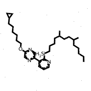 CCCCCC(C)CCC(C)CCCC[SiH2]c1ncccc1-c1cnc(OCCCCCCC2CC2)cn1